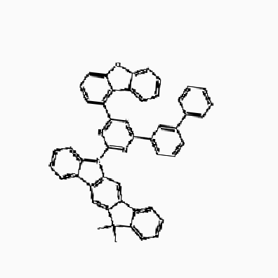 CC1(C)c2ccccc2-c2cc3c(cc21)c1ccccc1n3-c1nc(-c2cccc(-c3ccccc3)c2)nc(-c2cccc3oc4ccccc4c23)n1